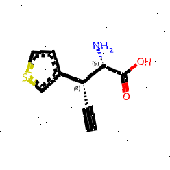 C#C[C@H](c1ccsc1)[C@H](N)C(=O)O